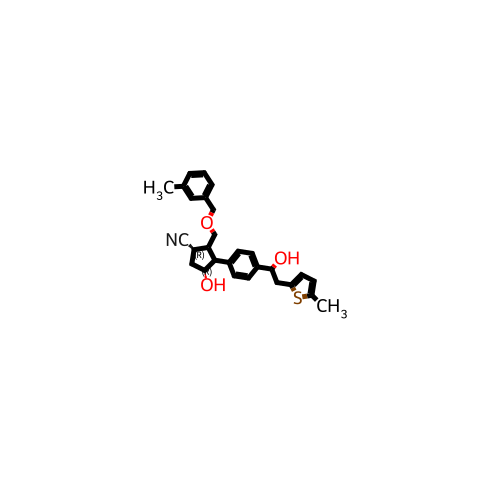 Cc1cccc(COCC2C(c3ccc(C(O)Cc4ccc(C)s4)cc3)[C@H](O)C[C@H]2C#N)c1